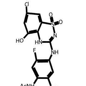 CC(=O)Nc1cc(F)c(NC2=NS(=O)(=O)c3cc(Cl)cc(O)c3N2)cc1O